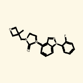 CC1(CN2CCN(c3cccc4c3cnn4-c3ccccc3F)C2=O)COC1